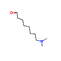 CN(C)CCCCCCCC=O